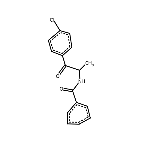 CC(NC(=O)c1ccccc1)C(=O)c1ccc(Cl)cc1